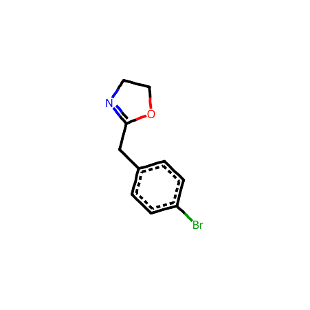 Brc1ccc(CC2=NCCO2)cc1